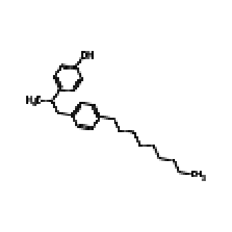 CCCCCCCCCc1ccc(CC(C)c2ccc(O)cc2)cc1